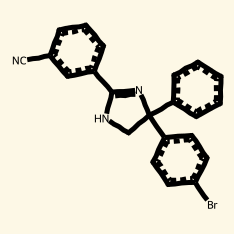 N#Cc1cccc(C2=NC(c3ccccc3)(c3ccc(Br)cc3)CN2)c1